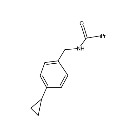 CC(C)C(=O)NCc1ccc(C2CC2)cc1